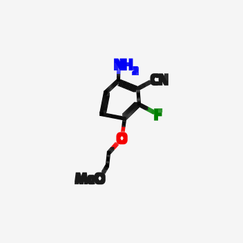 COCCOc1ccc(N)c(C#N)c1F